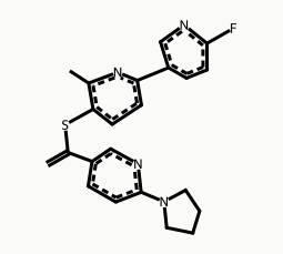 C=C(Sc1ccc(-c2ccc(F)nc2)nc1C)c1ccc(N2CCCC2)nc1